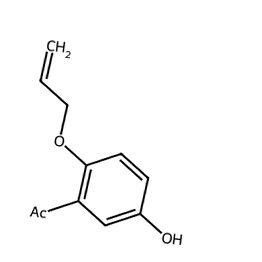 C=CCOc1ccc(O)cc1C(C)=O